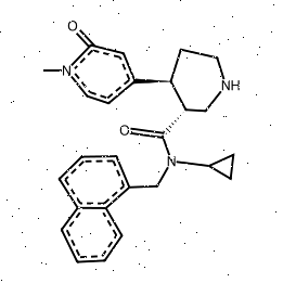 Cn1ccc([C@H]2CCNC[C@@H]2C(=O)N(Cc2cccc3ccccc23)C2CC2)cc1=O